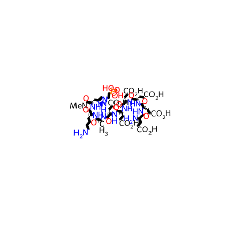 CNC(=O)[C@H](Cc1cn(CCP(=O)(O)O)nn1)NC(=O)[C@H](CCCCN)NC(=O)[C@H](C)NC(=O)[C@H](CCC(=O)O)NC(=O)[C@H](CCC(=O)O)NC(=O)[C@H](CCC(=O)O)NC(=O)[C@H](CCC(=O)O)NC(=O)[C@H](CCC(=O)O)NC(=O)[C@@H](N)CCC(=O)O